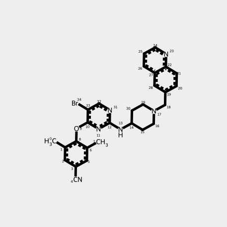 Cc1cc(C#N)cc(C)c1Oc1nc(NC2CCN(Cc3ccc4ncccc4c3)CC2)ncc1Br